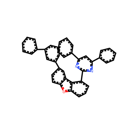 c1ccc(-c2cccc(-c3ccc4oc5cccc(-c6nc(-c7ccccc7)cc(-c7ccccc7)n6)c5c4c3)c2)cc1